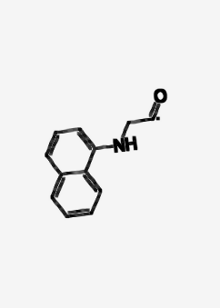 O=[C]CNc1cccc2ccccc12